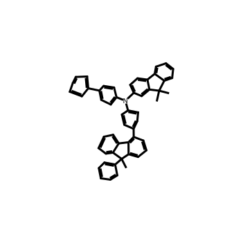 CC1(C)c2ccccc2-c2ccc(N(c3ccc(-c4ccccc4)cc3)c3ccc(-c4cccc5c4-c4ccccc4C5(C)c4ccccc4)cc3)cc21